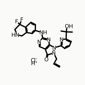 C=CCn1c(=O)c2cnc(Nc3ccc4c(c3)CNCC4(F)F)nc2n1-c1cccc(C(C)(C)O)n1.[Cl-].[H+]